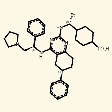 CC[C@@H](Nc1nc2c(c(N[C@@H](CN3CCCC3)c3ccccc3)n1)C[C@H](c1ccccc1)CC2)C1CCC(C(=O)O)CC1